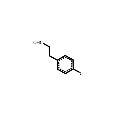 O=[C]CCc1ccc(Cl)cc1